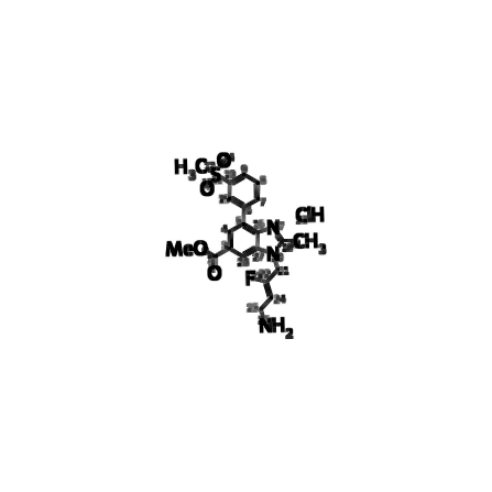 COC(=O)c1cc(-c2cccc(S(C)(=O)=O)c2)c2nc(C)n(C/C(F)=C/CN)c2c1.Cl